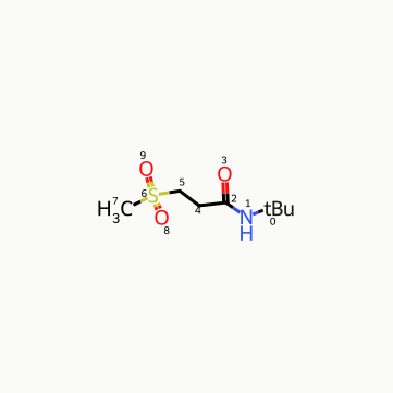 CC(C)(C)NC(=O)CCS(C)(=O)=O